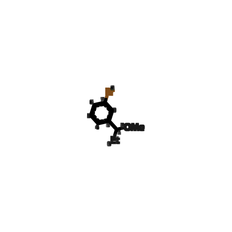 CCC(OC)c1cccc(Br)c1